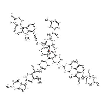 COc1ccc2c(c1C1CCN(C[C@H]3CC[C@H](n4cc5cc(NC(=O)c6cccc(C#N)n6)ccc5n4)C(C([C@H]4CC[C@H](NC(=O)c5cnc(-c6ccc7cc(C#N)cnn67)cc5NC(C)C)CC4)N4CCC(OCC#Cc5cccc6c5n(C)c(=O)n6C5CCC(=O)NC5=O)CC4)C3)CC1)n(C)c(=O)n2C1CCC(=O)NC1=O